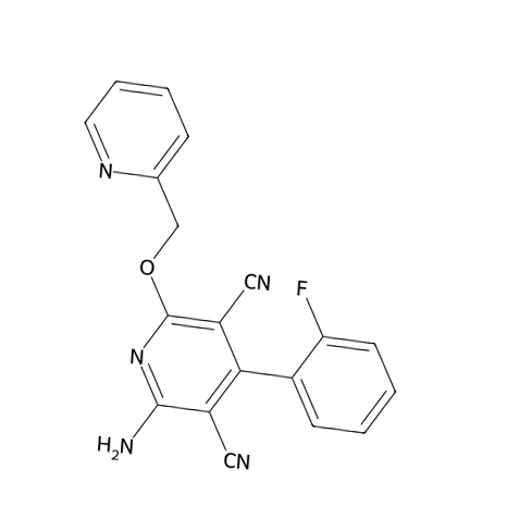 N#Cc1c(N)nc(OCc2ccccn2)c(C#N)c1-c1ccccc1F